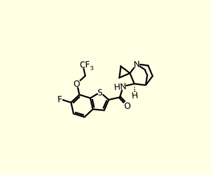 O=C(N[C@@H]1C2CCN(CC2)C12CC2)c1cc2ccc(F)c(OCC(F)(F)F)c2s1